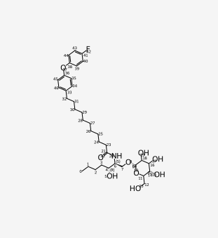 CCCC[C@@H](O)[C@H](CO[C@H]1OC(CO)[C@@H](O)C(O)C1O)NC(=O)CCCCCCCCCCc1ccc(Oc2ccc(F)cc2)cc1